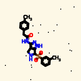 Cc1ccc(CC(=O)Nc2n[nH]c3c2CNC3S(=O)(=O)c2cccc(C)c2)cc1